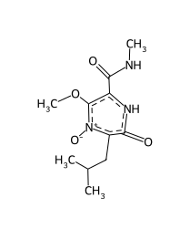 CNC(=O)c1[nH]c(=O)c(CC(C)C)[n+]([O-])c1OC